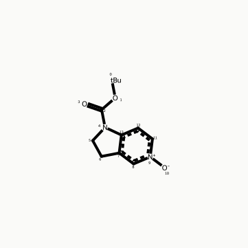 CC(C)(C)OC(=O)N1CCc2c[n+]([O-])ccc21